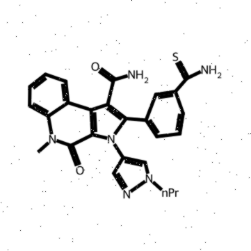 CCCn1cc(-n2c(-c3cccc(C(N)=S)c3)c(C(N)=O)c3c4ccccc4n(C)c(=O)c32)cn1